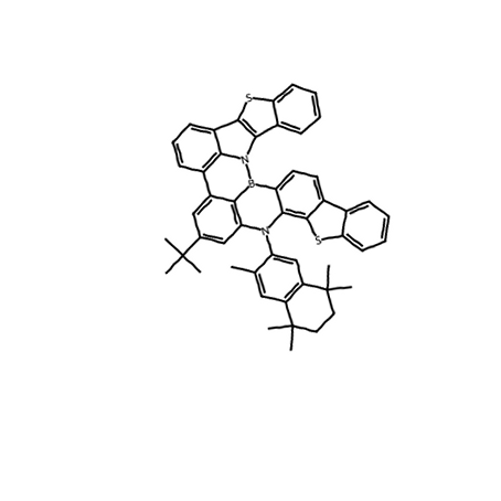 Cc1cc2c(cc1N1c3cc(C(C)(C)C)cc4c3B(c3ccc5c(sc6ccccc65)c31)n1c3c-4cccc3c3sc4ccccc4c31)C(C)(C)CCC2(C)C